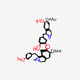 COc1cc2c(cc1O)C(Cc1ccc(O)c(Oc3cc4c(cc3OC)CCN(C)C4Cc3ccc(O)cc3)c1)N(C)CC2